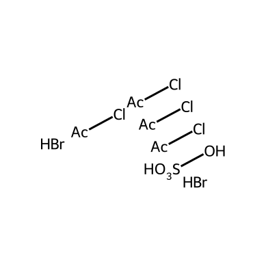 Br.Br.CC(=O)Cl.CC(=O)Cl.CC(=O)Cl.CC(=O)Cl.O=S(=O)(O)O